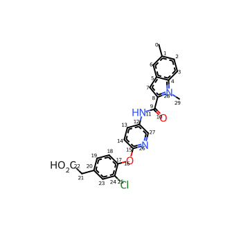 Cc1ccc2c(c1)cc(C(=O)Nc1ccc(Oc3ccc(CC(=O)O)cc3Cl)nc1)n2C